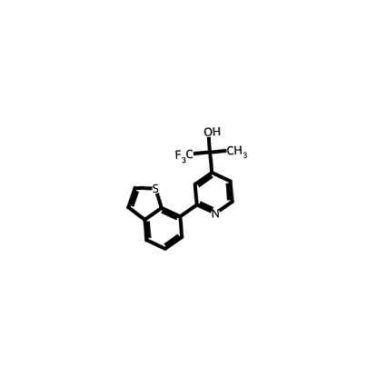 CC(O)(c1ccnc(-c2cccc3ccsc23)c1)C(F)(F)F